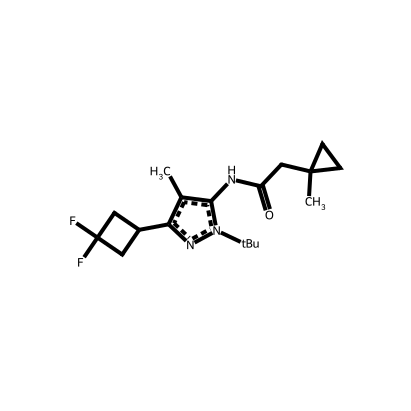 Cc1c(C2CC(F)(F)C2)nn(C(C)(C)C)c1NC(=O)CC1(C)CC1